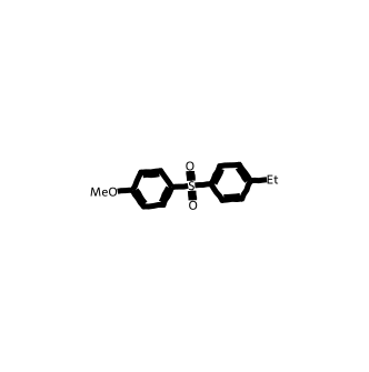 CCc1ccc(S(=O)(=O)c2ccc(OC)cc2)cc1